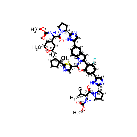 COC(=O)NC(C(=O)N1CCC[C@H]1c1ncc(-c2ccc3c(c2)cc2n3C(c3cnc(C4(C)CCCC4)s3)Oc3cc(-c4cnc([C@@H]5CCCN5C(=O)[C@@H](NC(=O)OC)C(C)C)[nH]4)cc(F)c3-2)[nH]1)C1C[C@@H](C)O[C@@H](C)C1